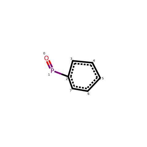 O=Pc1cc[c]cc1